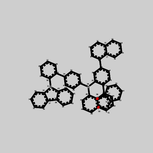 c1ccc(-c2ccc(-c3cccc4ccccc34)cc2N(c2ccc(-c3ccccc3-n3c4ccccc4c4ccccc43)cc2)c2cccc3oc4ccccc4c23)cc1